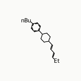 CCC=CC=CC1CCC(c2ccc(CCCC)cc2)CC1